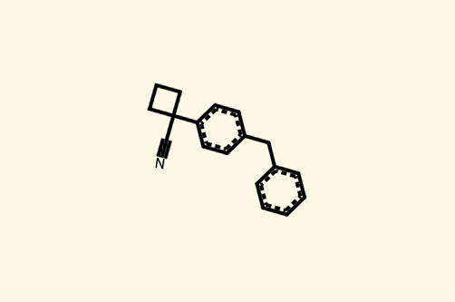 N#CC1(c2ccc(Cc3ccccc3)cc2)CCC1